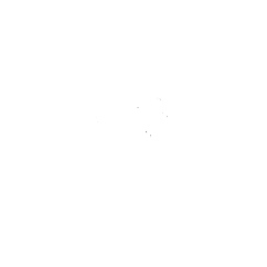 FC(F)n1nncc1CCl